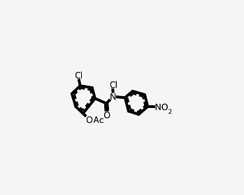 CC(=O)Oc1ccc(Cl)cc1C(=O)N(Cl)c1ccc([N+](=O)[O-])cc1